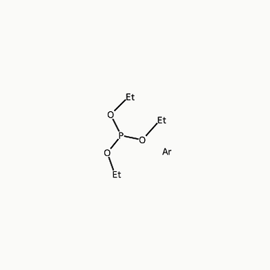 CCOP(OCC)OCC.[Ar]